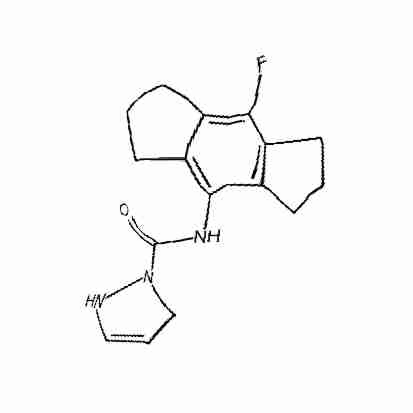 O=C(Nc1c2c(c(F)c3c1CCC3)CCC2)N1CC=CN1